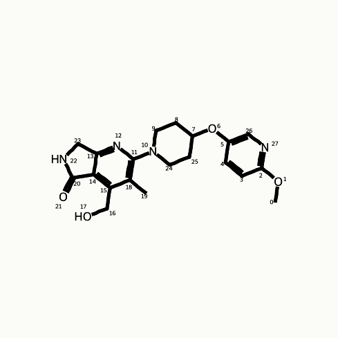 COc1ccc(OC2CCN(c3nc4c(c(CO)c3C)C(=O)NC4)CC2)cn1